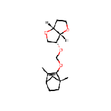 CC1=C(OCO[C@@H]2CO[C@@H]3CCO[C@@H]32)C2(C)CCC1C2